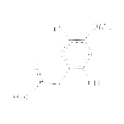 COC(=O)Cc1cc(C(C)C)c(OC)cc1C